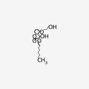 CCCCCC/C=C/Oc1c(O)c2c(OCCCO)cccc2oc1=O